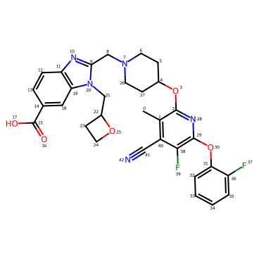 Cc1c(OC2CCN(Cc3nc4ccc(C(=O)O)cc4n3CC3CCO3)CC2)nc(Oc2ccccc2F)c(F)c1C#N